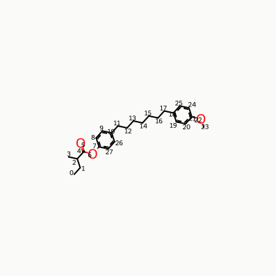 CCC(C)C(=O)Oc1ccc(CCCCCCCc2ccc(OC)cc2)cc1